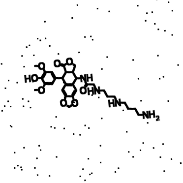 COc1cc(C2c3cc4c(cc3C(NC(=O)CNCCCNCCCCN)C3COC(=O)C23)OCO4)cc(OC)c1O